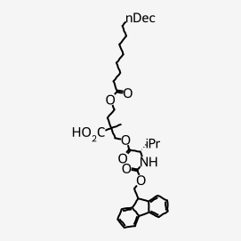 CCCCCCCCCCCCCCCCCC(=O)OCCC(C)(COC(=O)[C@@H](NC(=O)OCC1c2ccccc2-c2ccccc21)C(C)C)C(=O)O